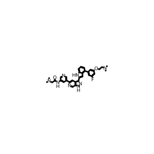 CN(C)CCOc1cc(F)cc(-c2cccc3[nH]c(-c4n[nH]c5cnc(-c6cncc(NC(=O)CN(C)C)c6)cc45)cc23)c1